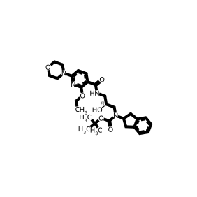 CCOc1nc(N2CCOCC2)ccc1C(=O)NC[C@@H](O)CN(C(=O)OC(C)(C)C)C1Cc2ccccc2C1